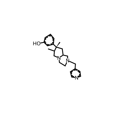 CC1CN2CCN(Cc3ccncc3)CC2C[C@@]1(C)c1cccc(O)c1